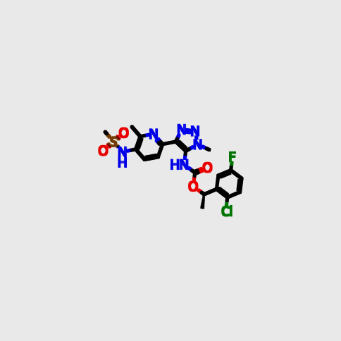 Cc1nc(-c2nnn(C)c2NC(=O)O[C@H](C)c2cc(F)ccc2Cl)ccc1NS(C)(=O)=O